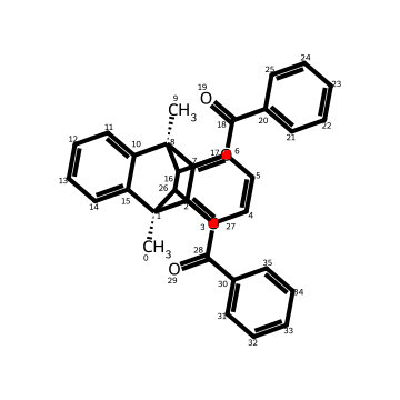 C[C@]12c3ccccc3[C@](C)(c3ccccc31)C(OC(=O)c1ccccc1)C2OC(=O)c1ccccc1